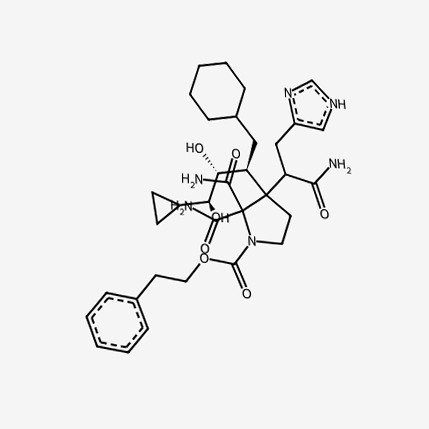 NC(=O)C(Cc1c[nH]cn1)C1([C@H](CC2CCCCC2)[C@@H](O)[C@@H](O)C2CC2)CCN(C(=O)OCCc2ccccc2)C1(C(N)=O)C(N)=O